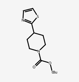 CC(C)(C)OC(=O)N1CCC(c2n[c]cs2)CC1